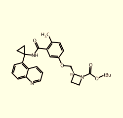 Cc1ccc(OC[C@@H]2CCN2C(=O)OC(C)(C)C)cc1C(=O)NC1(c2cccc3ncccc23)CC1